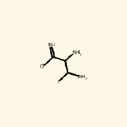 N=C(Cl)C(N)C(N)I